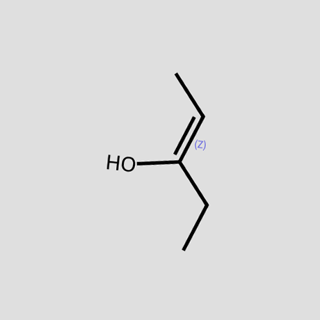 C/C=C(\O)CC